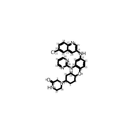 O=C1CN(C2CCC(Oc3ccc(Nc4cnc5ccc(Cl)cc5c4)cc3Nc3ncccn3)CC2)CCN1